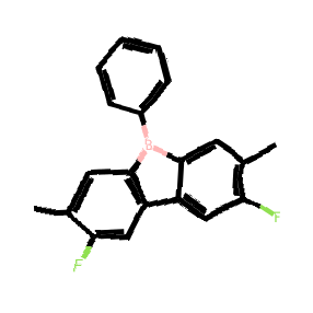 Cc1cc2c(cc1F)-c1cc(F)c(C)cc1B2c1ccccc1